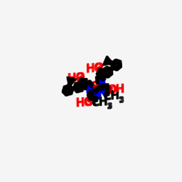 Cc1nc(C(=O)c2nc(C)c(O)cc2N2CCC3(CC(O)c4cc(-c5ccccc5C5CC5)ccc43)C2)c(N2CCC3(CC(O)c4cc(-c5ccccc5C5CC5)ccc43)C2)cc1O